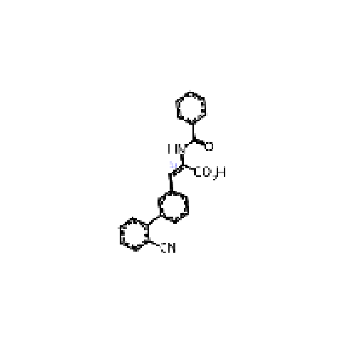 N#Cc1ccccc1-c1cccc(/C=C(/NC(=O)c2ccccc2)C(=O)O)c1